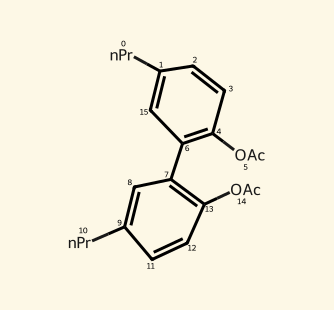 CCCc1ccc(OC(C)=O)c(-c2cc(CCC)ccc2OC(C)=O)c1